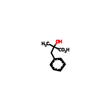 C[C@](O)(Cc1ccccc1)C(=O)O